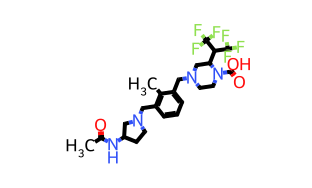 CC(=O)NC1CCN(Cc2cccc(CN3CCN(C(=O)O)C(C(C(F)(F)F)C(F)(F)F)C3)c2C)C1